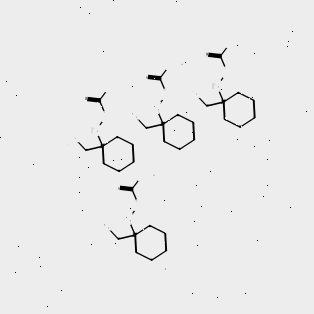 NCC1(NOC(=O)C(=O)[O-])CCCCC1.NCC1(NOC(=O)C(=O)[O-])CCCCC1.NCC1(NOC(=O)C(=O)[O-])CCCCC1.NCC1(NOC(=O)C(=O)[O-])CCCCC1.[Pt+4]